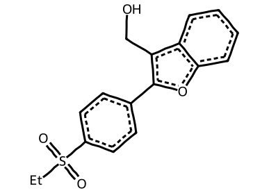 CCS(=O)(=O)c1ccc(-c2oc3ccccc3c2CO)cc1